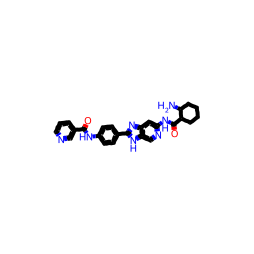 NC1CCCCC1C(=O)Nc1cc2nc(-c3ccc(NC(=O)c4cccnc4)cc3)[nH]c2cn1